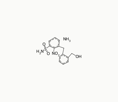 N.NS(=O)(=O)c1cccc(Cc2ccccc2CO)c1[N+](=O)[O-]